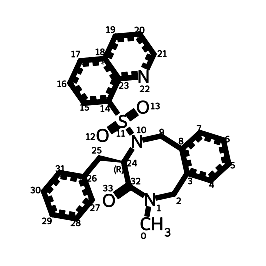 CN1Cc2ccccc2CN(S(=O)(=O)c2cccc3cccnc23)[C@H](Cc2ccccc2)C1=O